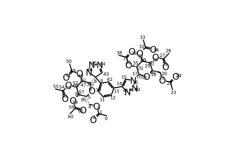 CC(=O)OC[C@H]1O[C@@H](C2(c3cccc(-c4cn([C@H]5O[C@H](COC(C)=O)[C@@H](OC(C)=O)[C@H](OC(C)=O)[C@@H]5OC(C)=O)nn4)c3)C=NN=N2)[C@H](OC(C)=O)[C@H](OC(C)=O)[C@@H]1OC(C)=O